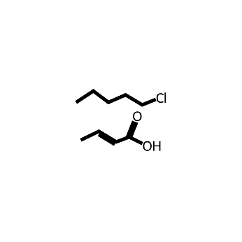 CC=CC(=O)O.CCCCCCl